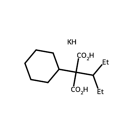 CCC(CC)C(C(=O)O)(C(=O)O)C1CCCCC1.[KH]